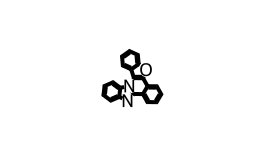 c1ccc2c(c1)nc1c3ccccc3c3oc4ccccc4c3n21